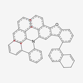 C1=CCCC(c2ccccc2N(c2cccc3ccccc23)c2cc3c(oc4cccc(-c5cccc6c5C=CCC6)c43)c3ccccc23)=C1